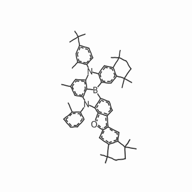 Cc1cc2c3c(c1)N(c1ccccc1C)c1c(ccc4c1oc1cc5c(cc14)C(C)(C)CCC5(C)C)B3c1cc3c(cc1N2c1ccc(C(C)(C)C)cc1C)C(C)(C)CCC3(C)C